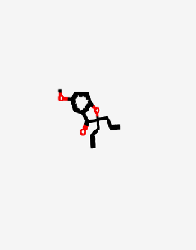 C=CCC1(CC=C)Oc2ccc(OC)cc2C1=O